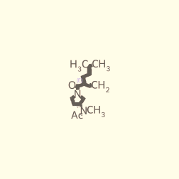 C=C/C(=C\C=C(C)C)C(=O)N1CC[C@H](N(C)C(C)=O)C1